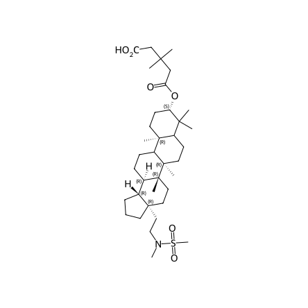 CN(CC[C@]12CCC[C@@H]1[C@H]1CCC3[C@@]4(C)CC[C@H](OC(=O)CC(C)(C)CC(=O)O)C(C)(C)C4CC[C@@]3(C)[C@]1(C)CC2)S(C)(=O)=O